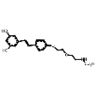 O=C(O)NCCOCCOc1ccc(C=Cc2cc(O)cc(O)c2)cc1